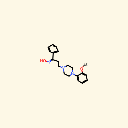 CCOc1ccccc1N1CCN(CCC(=NO)c2ccccc2)CC1